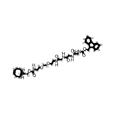 O=C(CNC(=O)CNC(=O)CNC(=O)OCC1c2ccccc2-c2ccccc21)NCCOCCOCCNC(=O)OC[C@@H]1[C@@H]2CCC#CCC[C@@H]21